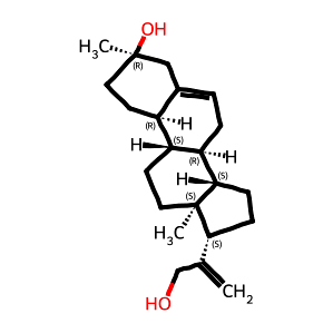 C=C(CO)[C@H]1CC[C@H]2[C@@H]3CC=C4C[C@](C)(O)CC[C@@H]4[C@H]3CC[C@]12C